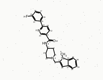 Cn1c(CN2CCC(NC(=O)c3ccc(-c4cccc(F)c4)nc3)CC2)cc2ccccc21